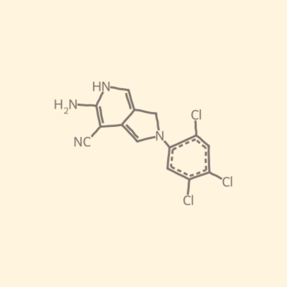 N#CC1=C(N)NC=C2CN(c3cc(Cl)c(Cl)cc3Cl)C=C21